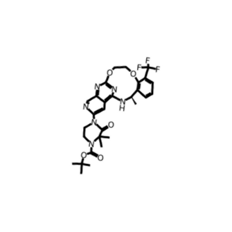 C[C@H]1Nc2nc(nc3cnc(N4CCN(C(=O)OC(C)(C)C)C(C)(C)C4=O)cc23)OCCOc2c1cccc2C(F)(F)F